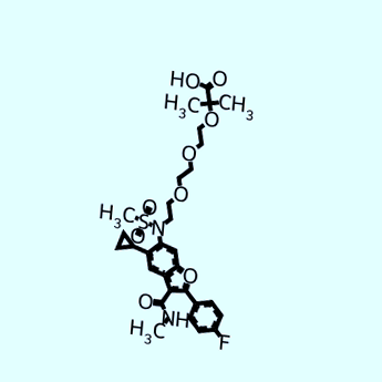 CNC(=O)c1c(-c2ccc(F)cc2)oc2cc(N(CCOCCOCCOC(C)(C)C(=O)O)S(C)(=O)=O)c(C3CC3)cc12